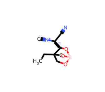 [C-]#[N+]/C(C#N)=C1/OB2OCC1(CC)CO2